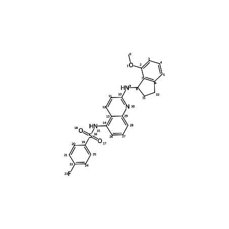 COc1cccc2c1C(Nc1ccc3c(NS(=O)(=O)c4ccc(F)cc4)cccc3n1)CC2